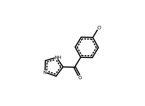 O=C(c1ccc(Cl)cc1)c1cnc[nH]1